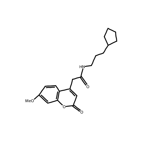 COc1ccc2c(CC(=O)NCCCC3CCCC3)cc(=O)oc2c1